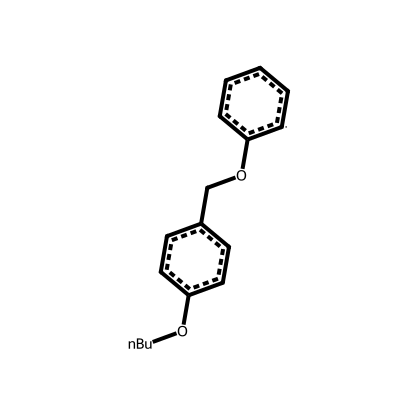 CCCCOc1ccc(COc2[c]cccc2)cc1